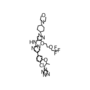 CC(Cn1cnnn1)Oc1cc(-c2cnc(Nc3cn(C4CCC(N5CCOCC5)CC4)nc3OCCOCC(F)(F)F)nc2)ccc1Cl